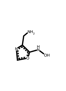 NCc1ncoc1NO